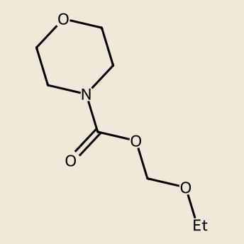 CCOCOC(=O)N1CCOCC1